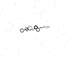 CCOC(=O)CCN1CCCc2c(OCCc3nc(N4CCCCC4)sc3C)cccc21